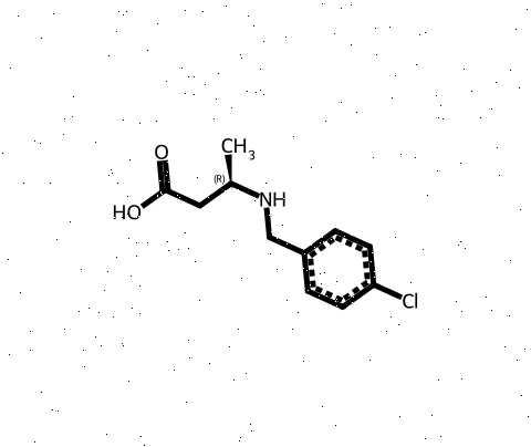 C[C@H](CC(=O)O)NCc1ccc(Cl)cc1